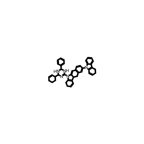 C1=CC(C2N=C(N3C4=Cc5ccc(-n6c7c(c8ccccc86)CCC=C7)cc5CC4C4=C3CCC=C4)NC(c3ccccc3)N2)CCC1